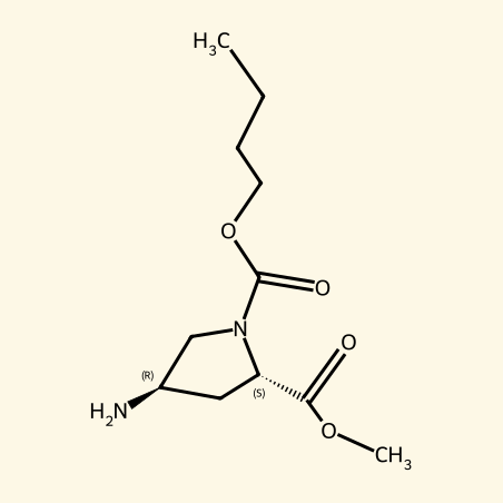 CCCCOC(=O)N1C[C@H](N)C[C@H]1C(=O)OC